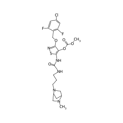 COC(=O)Oc1c(OCc2c(F)cc(Cl)cc2F)nsc1NC(=O)NCCCN1CC2CC1CN2C